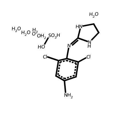 Nc1cc(Cl)c(N=C2NCCN2)c(Cl)c1.O.O.O.O.O.O=S(=O)(O)O